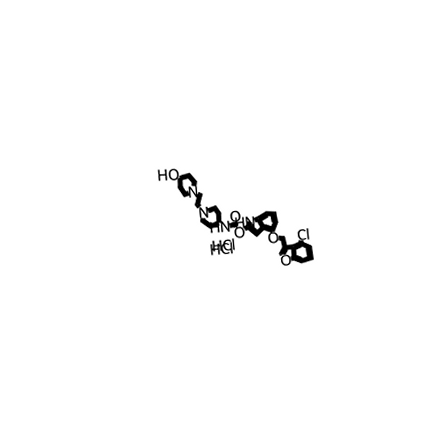 Cl.Cl.O=C(NC1CCN(CCN2CCC(O)CC2)CC1)Oc1cc2c(OCc3coc4cccc(Cl)c34)cccc2[nH]1